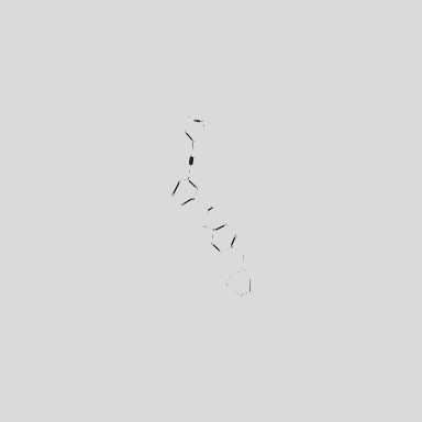 Cc1ncc(C#Cc2cccc(C(=O)Nc3ccc(CN4CCN(C)CC4)cc3)c2)s1